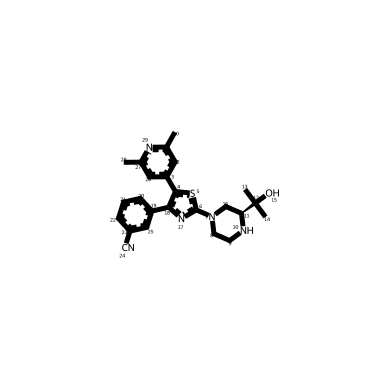 Cc1cc(-c2sc(N3CCN[C@H](C(C)(C)O)C3)nc2-c2cccc(C#N)c2)cc(C)n1